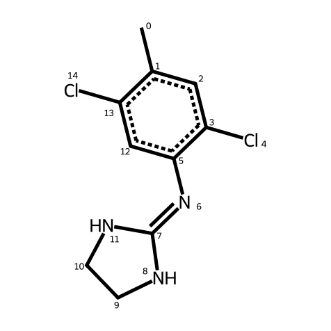 Cc1cc(Cl)c(N=C2NCCN2)cc1Cl